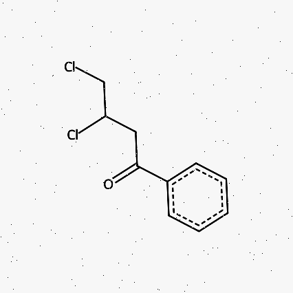 O=C(CC(Cl)CCl)c1ccccc1